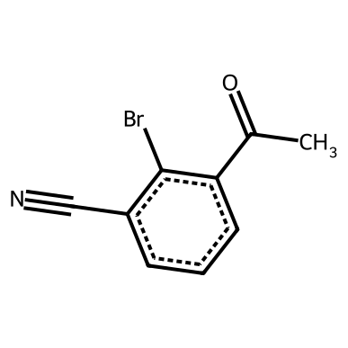 CC(=O)c1cccc(C#N)c1Br